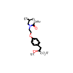 CCOC(Cc1ccc(OCCN(CC(CC)CC)C(=O)OCC(C)C)cc1)C(=O)O